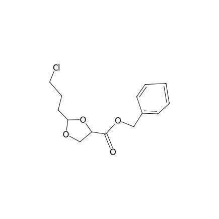 O=C(OCc1ccccc1)C1COC(CCCCl)O1